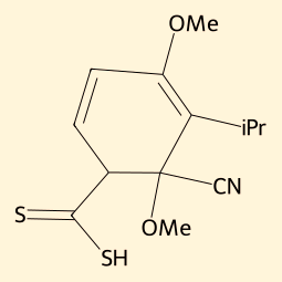 COC1=C(C(C)C)C(C#N)(OC)C(C(=S)S)C=C1